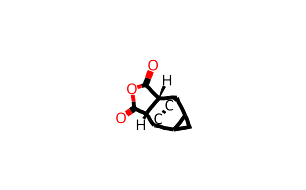 O=C1OC(=O)[C@H]2C3CCC(C4CC43)[C@@H]12